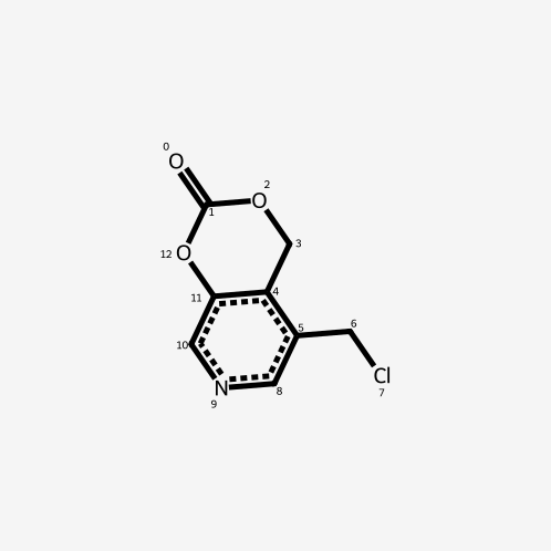 O=C1OCc2c(CCl)cncc2O1